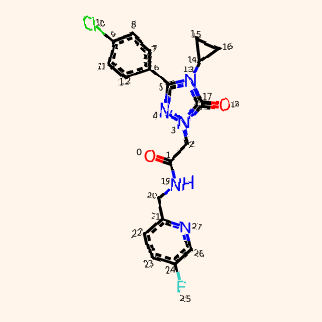 O=C(Cn1nc(-c2ccc(Cl)cc2)n(C2CC2)c1=O)NCc1ccc(F)cn1